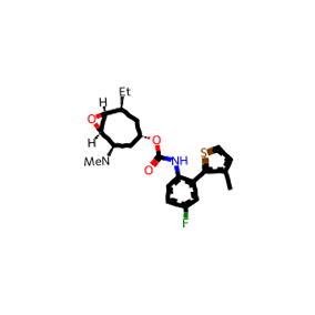 CC[C@H]1C[C@H](OC(=O)Nc2ccc(F)cc2-c2sccc2C)C[C@@H](NC)[C@H]2O[C@@H]12